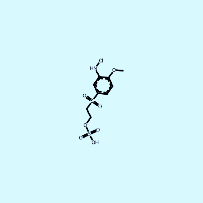 COc1ccc(S(=O)(=O)CCOS(=O)(=O)O)cc1NCl